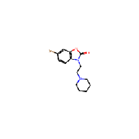 O=c1oc2cc(Br)ccc2n1CCN1CCCCC1